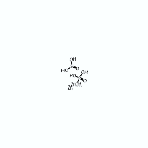 O=P(O)(O)O.O=[Si](O)O.[Zn].[Zn]